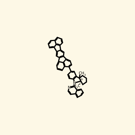 CC12CCCC[C@@]1(C)N(c1nccc3ccccc13)c1ccc(-c3ccc4c5cc6c(cc5c5cccc3c54)c3cccc4cccc6c43)cc12